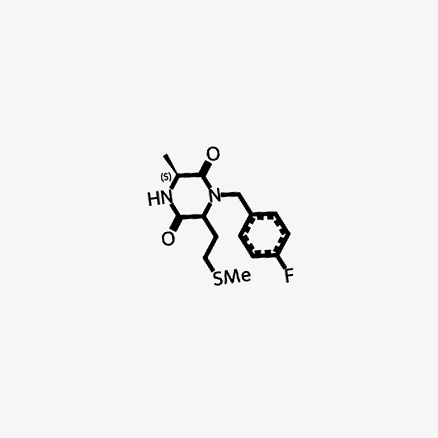 CSCCC1C(=O)N[C@@H](C)C(=O)N1Cc1ccc(F)cc1